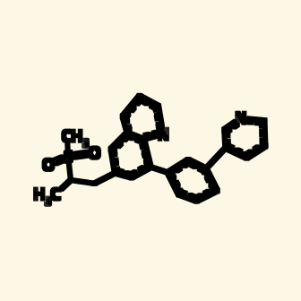 CC(Cc1cc(-c2cccc(-c3cccnc3)c2)c2ncccc2c1)S(C)(=O)=O